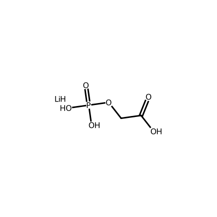 O=C(O)COP(=O)(O)O.[LiH]